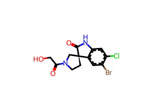 O=C(CO)N1CC[C@@]2(C1)C(=O)Nc1cc(Cl)c(Br)cc12